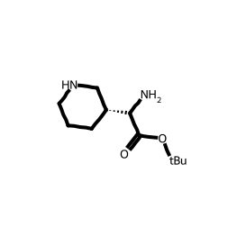 CC(C)(C)OC(=O)C(N)[C@@H]1CCCNC1